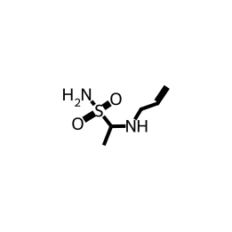 C=CCNC(C)S(N)(=O)=O